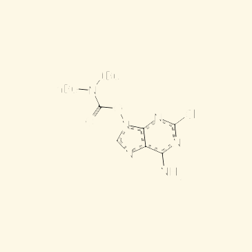 CCCCN(C(=O)On1cnc2c(N)nc(Cl)nc21)C(C)(C)C